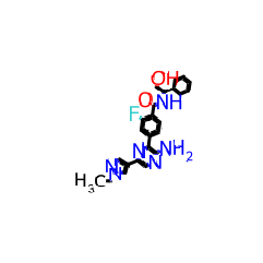 CCn1cc(-c2cnc(N)c(-c3ccc(C(=O)NC(CO)c4ccccc4)c(F)c3)n2)cn1